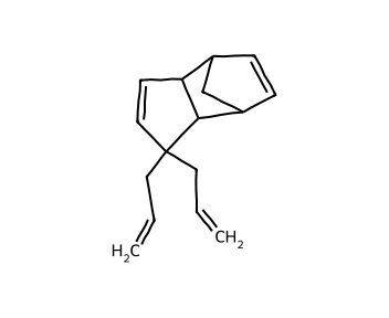 C=CCC1(CC=C)C=CC2C3C=CC(C3)C21